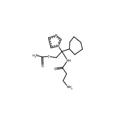 NCCC(=O)NC(CCC(N)=O)(C1CCCCC1)n1ccnc1